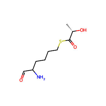 C[C@H](O)C(=O)SCCCCC(N)C=O